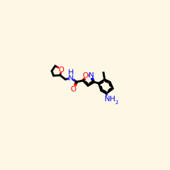 Cc1ccc(N)cc1-c1cc(C(=O)NCC2CCCO2)on1